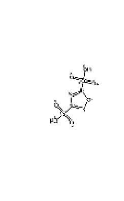 O=S(=O)(O)c1coc(S(=O)(=O)O)c1